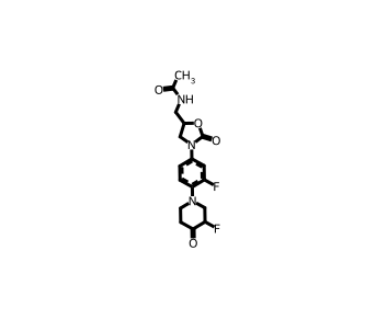 CC(=O)NCC1CN(c2ccc(N3CCC(=O)C(F)C3)c(F)c2)C(=O)O1